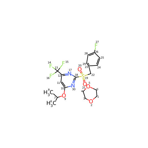 C1COCCO1.CC(C)Oc1cc(C(F)(F)F)nc(S(=O)(=O)Cc2ccc(F)cc2)n1